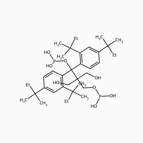 CCC(C)(C)c1ccc(C(OP(O)O)(c2ccc(C(C)(C)CC)cc2C(C)(C)CC)C(CO)(CO)COP(O)O)c(C(C)(C)CC)c1